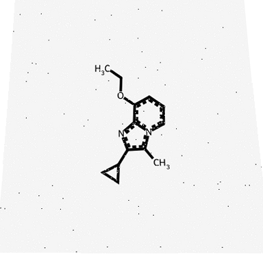 CCOc1cccn2c(C)c(C3CC3)nc12